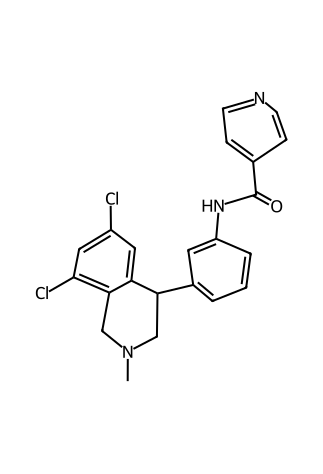 CN1Cc2c(Cl)cc(Cl)cc2C(c2cccc(NC(=O)c3ccncc3)c2)C1